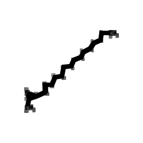 CCCCCCCCCCCCC/C=C/C1=NC1C